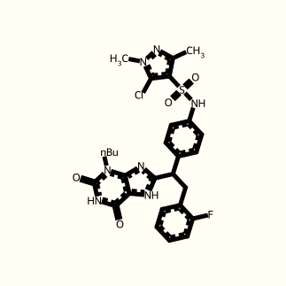 CCCCn1c(=O)[nH]c(=O)c2[nH]c(C(Cc3ccccc3F)c3ccc(NS(=O)(=O)c4c(C)nn(C)c4Cl)cc3)nc21